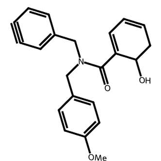 COc1ccc(CN(Cc2cc#ccc2)C(=O)C2=CC=CCC2O)cc1